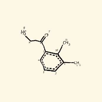 Cc1cccc(C(=O)CS)c1C